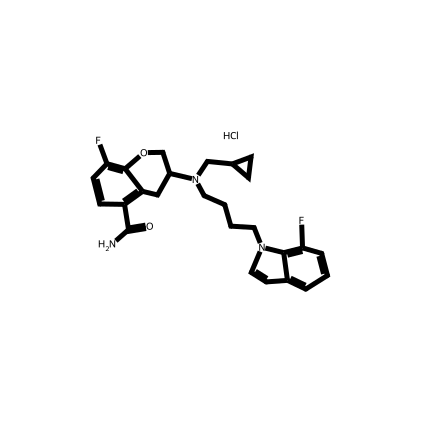 Cl.NC(=O)c1ccc(F)c2c1CC(N(CCCCn1ccc3cccc(F)c31)CC1CC1)CO2